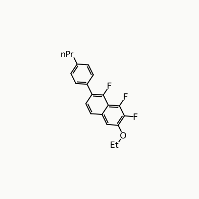 CCCc1ccc(-c2ccc3cc(OCC)c(F)c(F)c3c2F)cc1